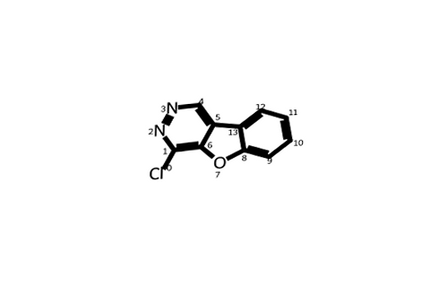 Clc1nncc2c1oc1ccccc12